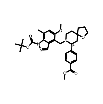 COC(=O)c1ccc([C@@H]2CC3(CCCO3)CCN2Cc2c(OC)cc(C)c3c2cnn3C(=O)OC(C)(C)C)cc1